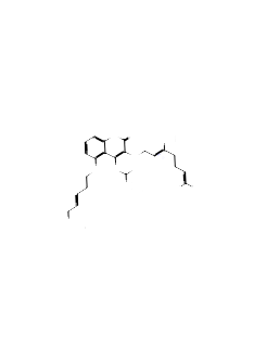 CCC=CCCOc1cccc2oc(=O)c(OC/C=C(\C)CCC=C(C)C)c(OC(C)C)c12